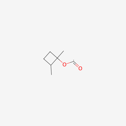 CC1CCC1(C)O[C]=O